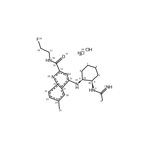 CC(=N)N[C@@H]1CCCC[C@@H]1Nc1nc(C(=O)NCCF)nc2ccc(C)cc12.Cl.Cl